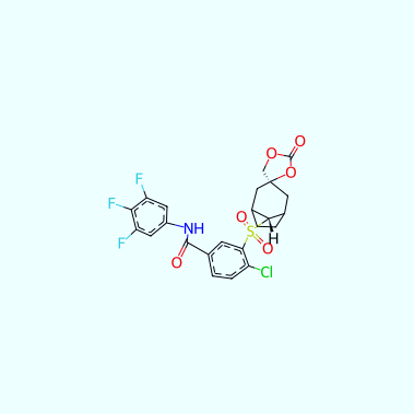 O=C1OC[C@]2(CC3CCC(C2)[C@@H]3S(=O)(=O)c2cc(C(=O)Nc3cc(F)c(F)c(F)c3)ccc2Cl)O1